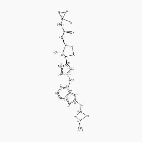 CC1(NC(=O)O[C@H]2CC[C@@H](c3cc(Nc4nccc5nc(CN6CC(C(F)(F)F)C6)cn45)n[nH]3)[C@@H]2F)CC1